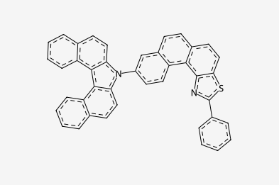 c1ccc(-c2nc3c(ccc4ccc5cc(-n6c7ccc8ccccc8c7c7c8ccccc8ccc76)ccc5c43)s2)cc1